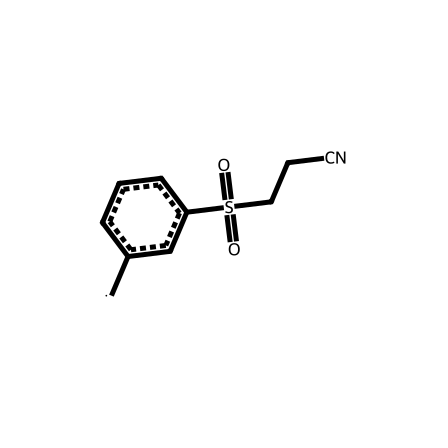 [CH2]c1cccc(S(=O)(=O)CCC#N)c1